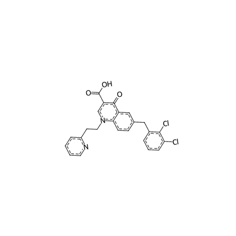 O=C(O)c1cn(CCc2ccccn2)c2ccc(Cc3cccc(Cl)c3Cl)cc2c1=O